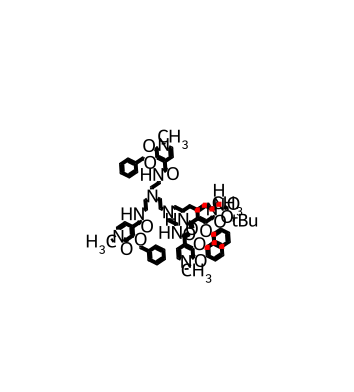 Cn1ccc(C(=O)NCCN(CCNC(=O)c2ccn(C)c(=O)c2OCc2ccccc2)CCN(CCNC(=O)c2ccn(C)c(=O)c2OCc2ccccc2)CC(CCCCNC(=O)OC(C)(C)C)NC(=O)c2ccn(C)c(=O)c2OCc2ccccc2)c(OCc2ccccc2)c1=O